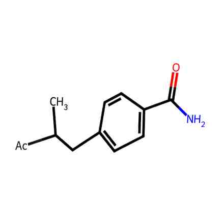 CC(=O)C(C)Cc1ccc(C(N)=O)cc1